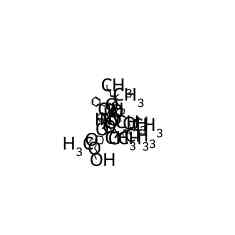 C/C=C/C=C(\C)C(C[C@@H]1CC[C@@H](C)[C@](O)(C(=O)C(=O)N2CCCCC2C(=O)O[C@@H](CC(=O)[C@H](C)/C=C(\C)[C@@H](O)CC)[C@H](C)C[C@@H]2CC[C@@H](OCCO)[C@H](OC)C2)O1)OC[C@H](O)c1ccccc1